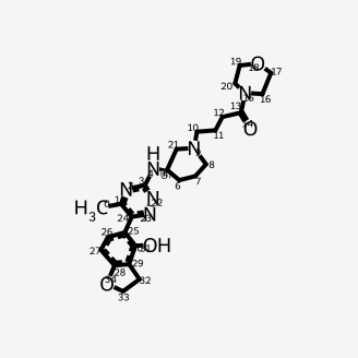 Cc1nc(N[C@@H]2CCCN(CCCC(=O)N3CCOCC3)C2)nnc1-c1ccc2c(c1O)CCO2